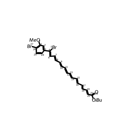 COc1cc(/C(Br)=C/C=C/C=C/C=C/C=C/C=C/C=C/C=C/C(=O)OCC(C)C)ccc1Br